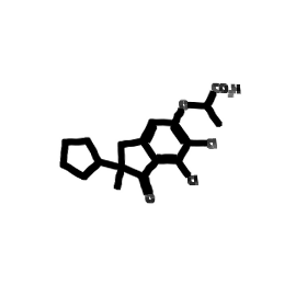 CC(Oc1cc2c(c(Cl)c1Cl)C(=O)C(C)(C1CCCC1)C2)C(=O)O